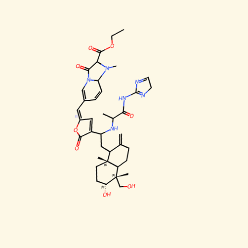 C=C1CCC2[C@](C)(CC[C@@H](O)[C@@]2(C)CO)C1CC(NC(C)C(=O)NC1=NCC=N1)C1=C/C(=C\C2=CN3C(=O)C(C(=O)OCC)N(C)C3C=C2)OC1=O